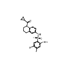 COc1cc(C)c(F)cc1S(=O)(=O)Nc1ccc2c(c1)CCCN2C(=O)C1CC1